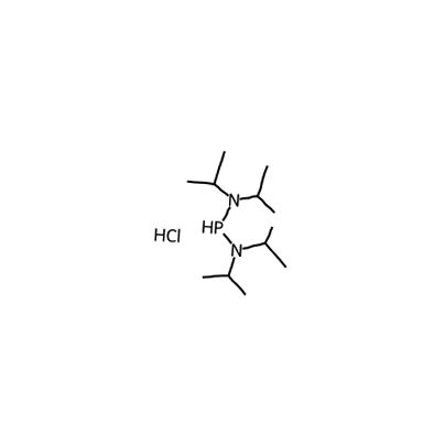 CC(C)N(PN(C(C)C)C(C)C)C(C)C.Cl